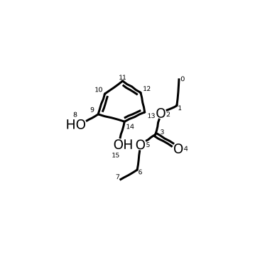 CCOC(=O)OCC.Oc1ccccc1O